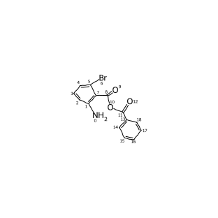 Nc1cccc(Br)c1C(=O)OC(=O)c1ccccc1